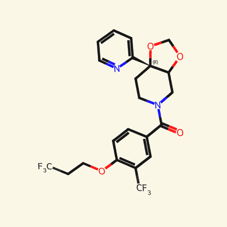 O=C(c1ccc(OCCC(F)(F)F)c(C(F)(F)F)c1)N1CC[C@]2(c3ccccn3)OCOC2C1